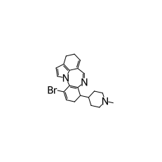 CN1CCC(C2CC=C(Br)C3=C2N=CC2=CCCc4ccn3c42)CC1